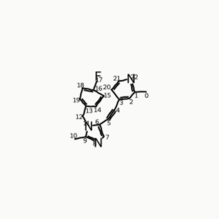 Cc1cc(C#Cc2cnc(C)n2Cc2ccc(F)cc2)ccn1